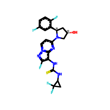 O[C@H]1C[C@H](c2cc(F)ccc2F)N(c2ccn3nc(F)c(NC(=S)NC4CC4(F)F)c3n2)C1